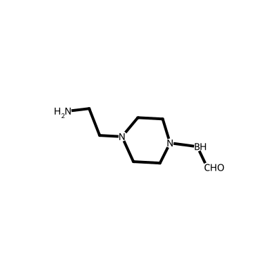 NCCN1CCN(BC=O)CC1